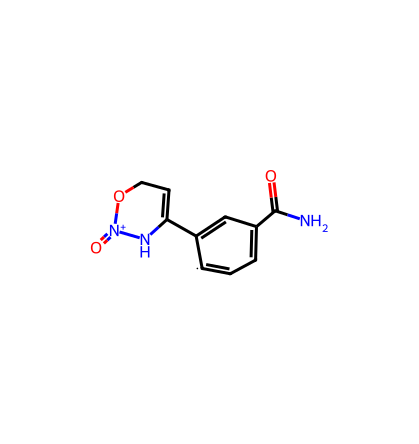 NC(=O)c1cc[c]c(C2=CCO[N+](=O)N2)c1